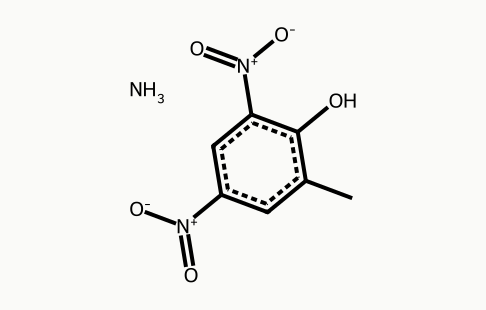 Cc1cc([N+](=O)[O-])cc([N+](=O)[O-])c1O.N